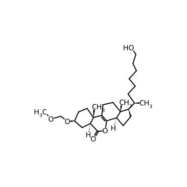 COCO[C@H]1CC[C@]2(C)C3=C(OC(=O)[C@H]2C1)[C@@H]1CC[C@H]([C@H](C)CCCCCCO)[C@@]1(C)CC3